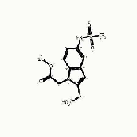 CC(C)(C)OC(=O)Cn1c(OC(=O)O)cc2cc(NS(=O)(=O)C(F)(F)F)ccc21